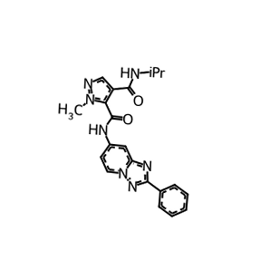 CC(C)NC(=O)c1cnn(C)c1C(=O)Nc1ccn2nc(-c3ccccc3)nc2c1